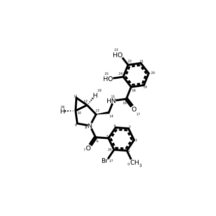 Cc1cccc(C(=O)N2C[C@H]3C[C@H]3[C@H]2CNC(=O)c2cccc(O)c2O)c1Br